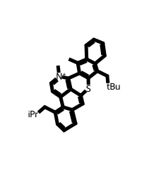 Cc1c2c(c(CC(C)(C)C)c3ccccc13)Sc1cc3cccc(CC(C)C)c3c3cc[n+](C)c-2c13